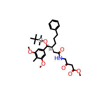 COC(=O)CC(=O)CNC(=O)C[C@H](CCCc1ccccc1)[C@H](O[Si](C)(C)C(C)(C)C)c1cc(OC)c(C)c(OC)c1